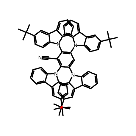 CC(C)(C)c1ccc2c(c1)c1ccccc1n2-c1cc(-n2c3ccccc3c3cc(C(C)(C)C)ccc32)c(-n2c3ccccc3c3cc(C(C)(C)C)ccc32)c(C#N)c1-n1c2ccccc2c2cc(C(C)(C)C)ccc21